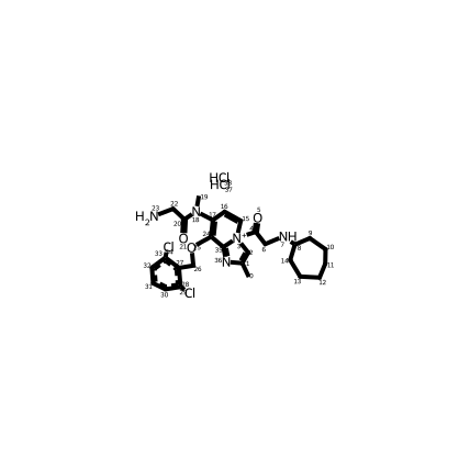 CC1=C[N+]2(C(=O)CNC3CCCCCC3)C=CC(N(C)C(=O)CN)=C(OCc3c(Cl)cccc3Cl)C2=N1.Cl.Cl